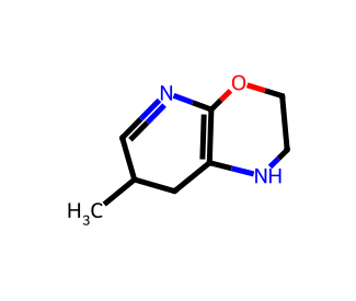 CC1C=NC2=C(C1)NCCO2